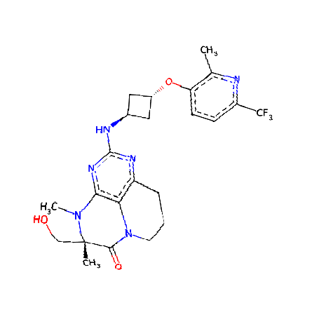 Cc1nc(C(F)(F)F)ccc1O[C@H]1C[C@H](Nc2nc3c4c(n2)N(C)[C@@](C)(CO)C(=O)N4CCC3)C1